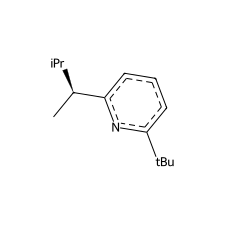 CC(C)[C@H](C)c1cccc(C(C)(C)C)n1